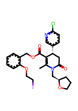 CC1=C(C(=O)OCc2ccccc2OCCI)[C@H](c2ccc(Cl)nc2)CC(=O)N1C[C@H]1CCCO1